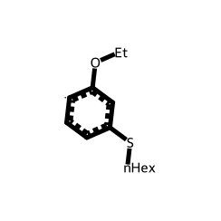 CCCCCCSc1cc[c]c(OCC)c1